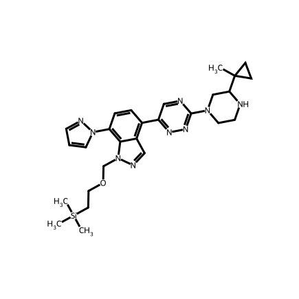 CC1(C2CN(c3ncc(-c4ccc(-n5cccn5)c5c4cnn5COCC[Si](C)(C)C)nn3)CCN2)CC1